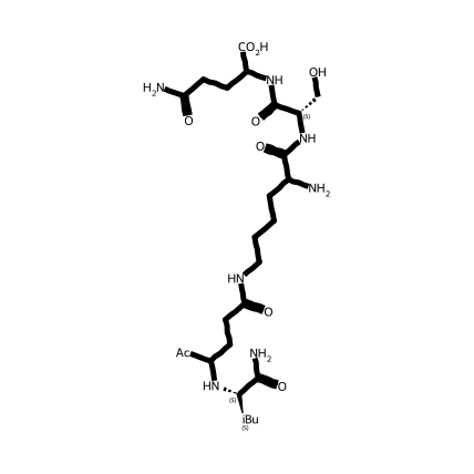 CC[C@H](C)[C@H](NC(CCC(=O)NCCCCC(N)C(=O)N[C@@H](CO)C(=O)NC(CCC(N)=O)C(=O)O)C(C)=O)C(N)=O